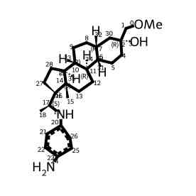 COC[C@@]1(O)CC[C@H]2[C@H](CC[C@@H]3[C@@H]2CC[C@]2(C)[C@@H]([C@H](C)Nc4ccc(N)cc4)CC[C@@H]32)C1